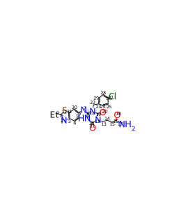 CCc1nc2ccc(/N=c3\[nH]c(=O)n(CCCC(N)=O)c(=O)n3Cc3ccc(Cl)cc3)cc2s1